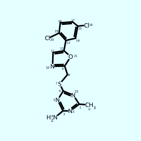 Cc1nc(N)nc(SCc2ncc(-c3cc(Cl)ccc3Cl)o2)n1